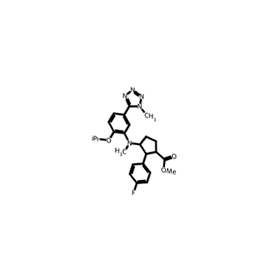 COC(=O)C1CCC(N(C)c2cc(-c3nnnn3C)ccc2OC(C)C)C1c1ccc(F)cc1